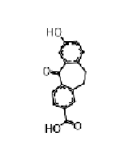 O=C(O)c1ccc2c(c1)CCc1ccc(O)cc1C2=O